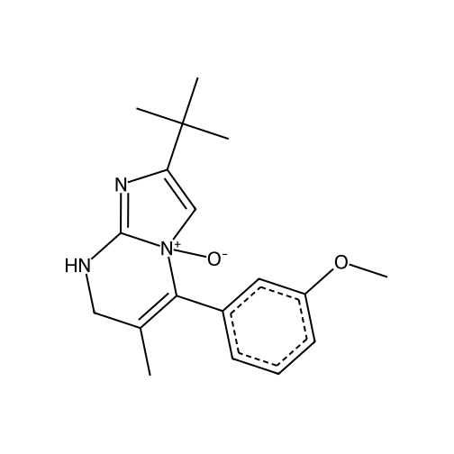 COc1cccc(C2=C(C)CNC3=NC(C(C)(C)C)=C[N+]32[O-])c1